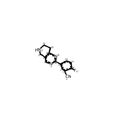 N#Cc1cc(-c2ncc3c(n2)CCNC3)ccc1F